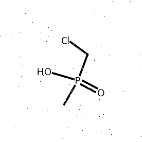 CP(=O)(O)CCl